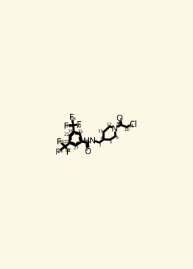 O=C(NCC1CCN(C(=O)CCl)CC1)c1cc(C(F)(F)F)cc(C(F)(F)F)c1